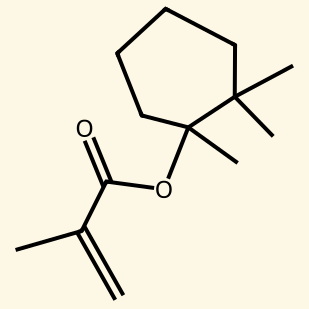 C=C(C)C(=O)OC1(C)CCCCC1(C)C